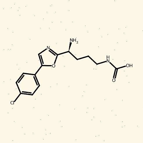 N[C@@H](CCCNC(=O)O)c1ncc(-c2ccc(Cl)cc2)o1